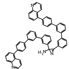 NC1(c2cccc(-c3cccc(-c4ccc(-c5cccc6ncccc56)cc4)c3)c2)N=C1c1cccc(-c2cccc(-c3ccc(-c4cccc5ncccc45)cc3)c2)c1